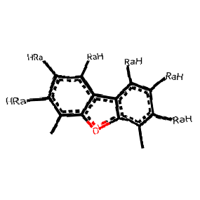 Cc1[c]([RaH])[c]([RaH])[c]([RaH])c2c1oc1c(C)[c]([RaH])[c]([RaH])[c]([RaH])c12